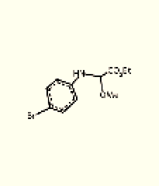 CCOC(=O)C(Nc1ccc(Br)cc1)OC